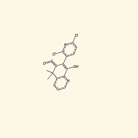 CC1(C)c2cccnc2C(O)=C(c2ccc(Cl)nc2Cl)S1=S=O